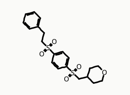 O=S(=O)(CCc1ccccc1)c1ccc(S(=O)(=O)CC2CCOCC2)cc1